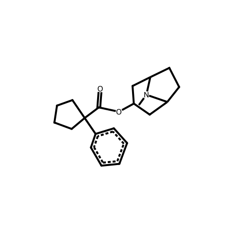 CN1C2CCC1CC(OC(=O)C1(c3ccccc3)CCCC1)C2